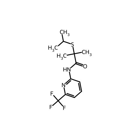 CC(C)SC(C)(C)C(=O)Nc1cccc(C(F)(F)F)n1